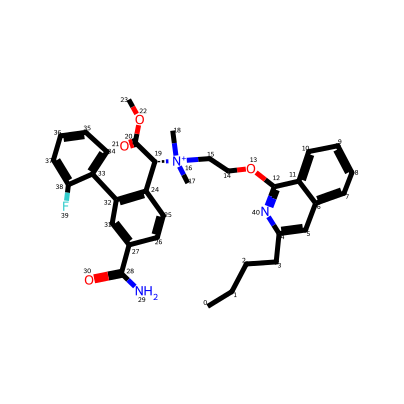 CCCCc1cc2ccccc2c(OCC[N+](C)(C)[C@@H](C(=O)OC)c2ccc(C(N)=O)cc2-c2ccccc2F)n1